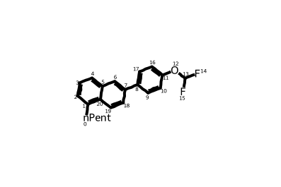 CCCCCc1cccc2cc(-c3ccc(OC(F)F)cc3)ccc12